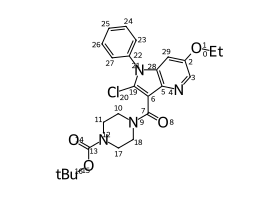 CCOc1cnc2c(C(=O)N3CCN(C(=O)OC(C)(C)C)CC3)c(Cl)n(-c3ccccc3)c2c1